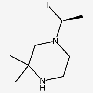 C[C@H](I)N1CCNC(C)(C)C1